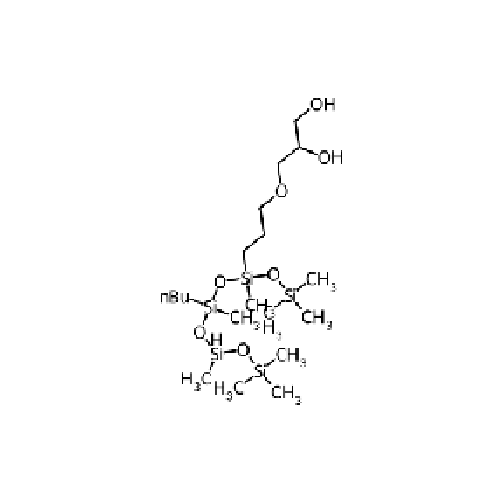 CCCC[Si](C)(O[SiH](C)O[Si](C)(C)C)O[Si](C)(CCCOCC(O)CO)O[Si](C)(C)C